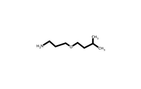 CC(C)CCOCCCN